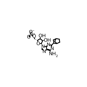 Nc1nc(C2CC3CCC2C3)nc2c1ncn2[C@@H]1O[C@H](CO[N+](=O)[O-])[C@@H](O)[C@H]1O